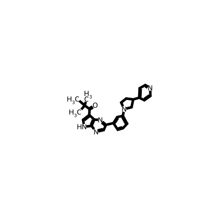 CC(C)(C)C(=O)c1c[nH]c2ncc(-c3cccc(N4CCC(c5ccncc5)C4)c3)nc12